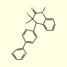 CN1C(=O)C(F)(F)C(c2ccc(-c3ccccn3)cc2)c2ccccc21